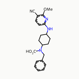 COc1nc(NC2CCC(N(Cc3ccccc3)C(=O)O)CC2)ccc1C#N